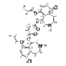 CC=COc1ccc(Cl)c2c1C(OC(=O)/C=C\C(=O)OC1CN(C)CCc3c(Cl)ccc(OC=CC)c31)CN(C)CC2